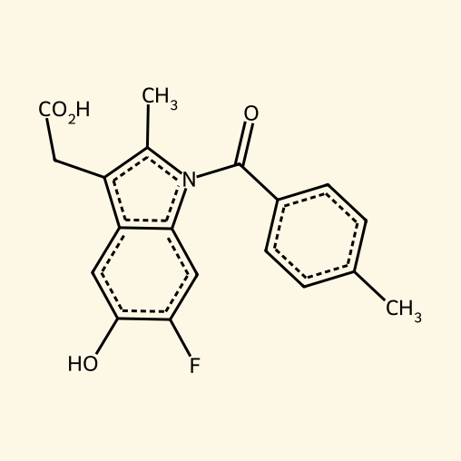 Cc1ccc(C(=O)n2c(C)c(CC(=O)O)c3cc(O)c(F)cc32)cc1